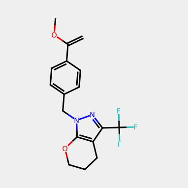 C=C(OC)c1ccc(Cn2nc(C(F)(F)F)c3c2OCCC3)cc1